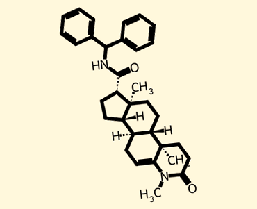 CN1C(=O)CC[C@@]2(C)C1=CC[C@H]1[C@@H]3CC[C@H](C(=O)NC(c4ccccc4)c4ccccc4)[C@@]3(C)CC[C@@H]12